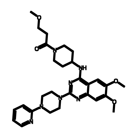 COCCC(=O)N1CCC(Nc2nc(N3CCN(c4ccccn4)CC3)nc3cc(OC)c(OC)cc23)CC1